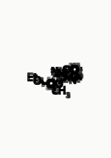 CCOCCc1ccc(OCCN(C(=O)n2ccnc2)c2ncnc3ccccc23)c(C)c1